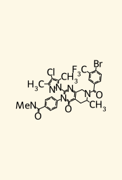 CNC(=O)c1ccc(-n2c(-n3nc(C)c(Cl)c3C)nc3c(c2=O)CC(C)N(C(=O)c2ccc(Br)c(C(F)(F)F)c2)C3)cc1